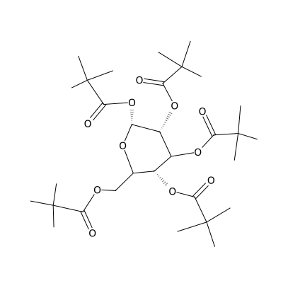 CC(C)(C)C(=O)OCC1O[C@H](OC(=O)C(C)(C)C)[C@H](OC(=O)C(C)(C)C)C(OC(=O)C(C)(C)C)[C@@H]1OC(=O)C(C)(C)C